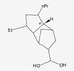 CCCC1CC(CC)C2C3CC(CC3C(O)O)[C@@H]12